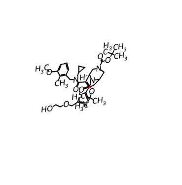 COc1cccc(CN(C(=O)C2=C(c3cnc(COCCO)s3)CC3CN(C(=O)OC(C)(C)C)C[C@H]2N3C(=O)OC(C)(C)C)C2CC2)c1C